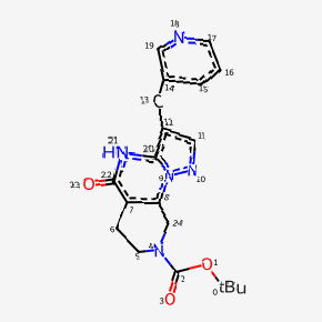 CC(C)(C)OC(=O)N1CCc2c(n3ncc(Cc4cccnc4)c3[nH]c2=O)C1